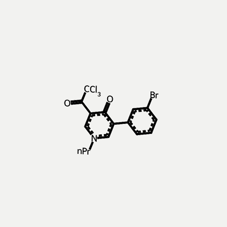 CCCn1cc(C(=O)C(Cl)(Cl)Cl)c(=O)c(-c2cccc(Br)c2)c1